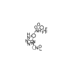 C=CC(=O)N1CCCC(n2nc(-c3ccc(CNC(=O)c4cc(C(F)(F)F)ccc4OC)cc3)c3c(N)ncnc32)C1